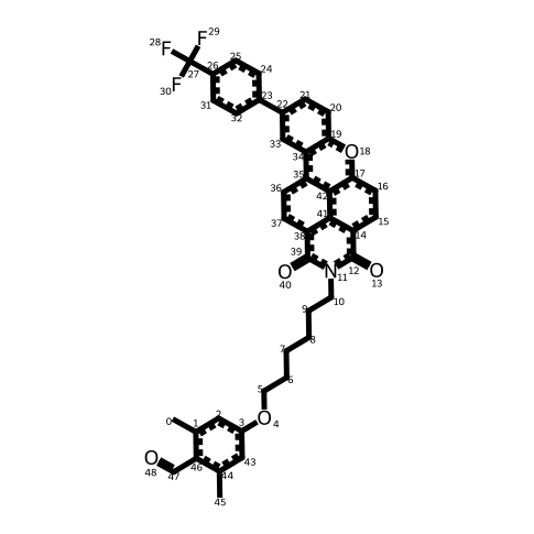 Cc1cc(OCCCCCCn2c(=O)c3ccc4oc5ccc(-c6ccc(C(F)(F)F)cc6)cc5c5ccc(c2=O)c3c45)cc(C)c1C=O